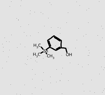 [CH3][Sn]([CH3])([CH3])[c]1cccc(CO)c1